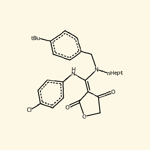 CCCCCCCN(Cc1ccc(C(C)(C)C)cc1)/C(Nc1ccc(Cl)cc1)=C1\C(=O)COC1=O